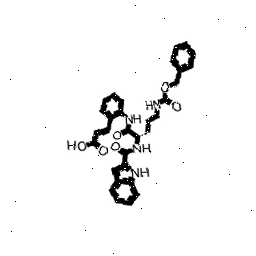 O=C(O)/C=C/c1ccccc1NC(=O)[C@H](CCCNC(=O)OCc1ccccc1)NC(=O)c1cc2ccccc2[nH]1